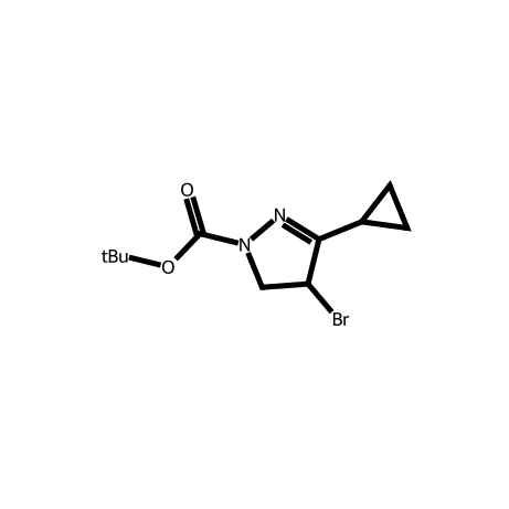 CC(C)(C)OC(=O)N1CC(Br)C(C2CC2)=N1